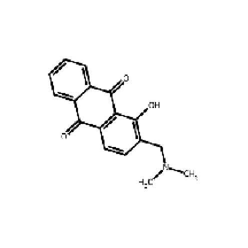 CN(C)Cc1ccc2c(c1O)C(=O)c1ccccc1C2=O